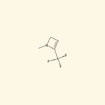 CN1CC=C1C(F)(F)F